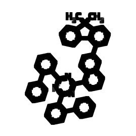 CC1(C)c2ccccc2-c2c(-c3ccc4c(-c5nc(-c6ccccc6-c6ccccc6)nc(-c6ccccc6-c6ccccc6)n5)cccc4c3)cccc21